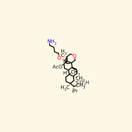 CC(=O)O[C@@H]1C[C@]23COC[C@@](C)([C@@H]2CC[C@H]2C3=CC[C@@]3(C)[C@H](C(=O)O)[C@@](C)([C@H](C)C(C)C)CC[C@]23C)[C@H]1OCCCCN